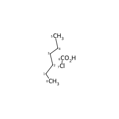 CCCCCC.O=C(O)Cl